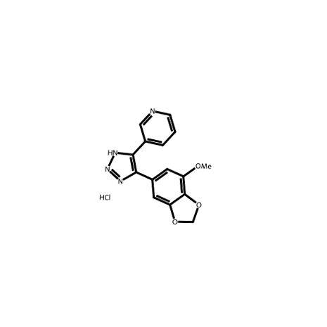 COc1cc(-c2nn[nH]c2-c2cccnc2)cc2c1OCO2.Cl